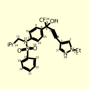 CCn1cc(C#CC(O)(c2ccc(N(CC(C)C)S(=O)(=O)c3ccccc3)cc2)C(F)(F)F)cn1